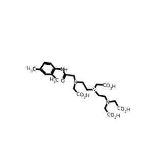 Cc1ccc(NC(=O)CN(CCN(CCN(CC(=O)O)CC(=O)O)CC(=O)O)CC(=O)O)c(C)c1